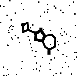 c1c2c(nn1C1COC1)CCCNC2